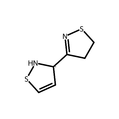 C1=C[C](C2=NSCC2)NS1